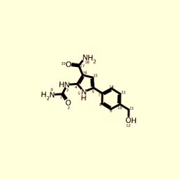 NC(=O)Nc1[nH]c(-c2ccc(CO)cc2)cc1C(N)=O